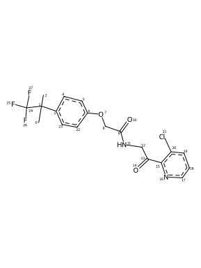 CC(C)(c1ccc(OCC(=O)NCC(=O)c2ncccc2Cl)cc1)C(F)(F)F